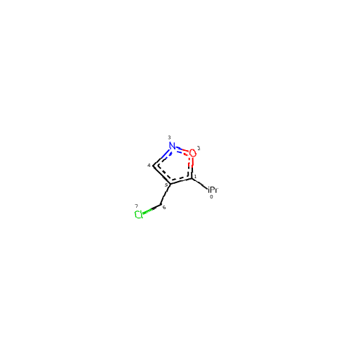 CC(C)c1oncc1CCl